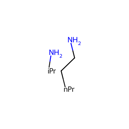 CC(C)N.CCCCCN